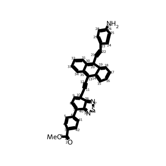 COC(=O)c1ccc(-c2ccc(C#Cc3c4ccccc4c(C#Cc4ccc(N)cc4)c4ccccc34)c3nsnc23)cc1